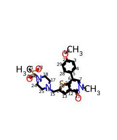 COc1ccc(-c2cn(C)c(=O)c3cc(CN4CCN(S(C)(=O)=O)CC4)sc23)cc1